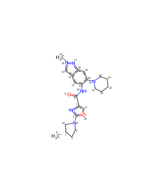 C[C@H]1CCN(c2nc(C(=O)Nc3cc4cn(C)nc4cc3N3CCCCC3)co2)C1